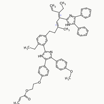 C=CC(=O)OCCOc1ccc(-c2[nH]c(-c3cc(CC/C(C)=C/C(=C(\C=C)CC)c4nc(-c5ccccc5)c(-c5ccccc5)[nH]4)ccc3CC)nc2-c2ccc(OC)cc2)cc1